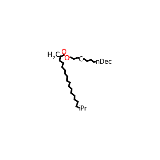 C=C(CCCCCCCCCCCCCCCC(C)C)C(=O)OCCCCCCCCCCCCCCCCCC